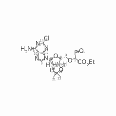 CCOC(=O)C(OC[C@H]1O[C@@H](n2cnc3c(N)nc(Cl)nc32)[C@@H]2OC(C)(C)O[C@@H]21)P=O